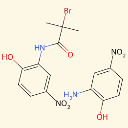 CC(C)(Br)C(=O)Nc1cc([N+](=O)[O-])ccc1O.Nc1cc([N+](=O)[O-])ccc1O